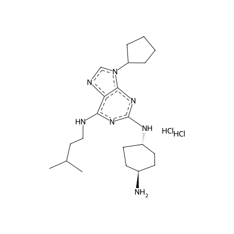 CC(C)CCNc1nc(N[C@H]2CC[C@H](N)CC2)nc2c1ncn2C1CCCC1.Cl.Cl